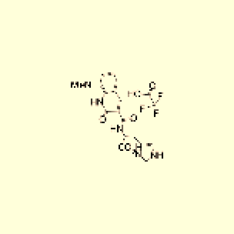 CNc1cccc2cc(C(=O)NC(Cc3c[nH]cn3)C(=O)O)c(=O)[nH]c12.O=C(O)C(F)(F)F